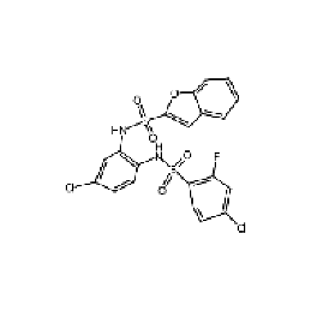 O=S(=O)(Nc1cc(Cl)ccc1NS(=O)(=O)c1ccc(Cl)cc1F)c1cc2ccccc2o1